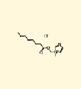 CCCCCCCC(=O)OC[N+]1(C)C=CN=C1.[Cl-]